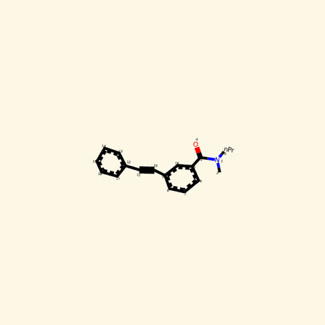 CCCN(C)C(=O)c1cccc(C#Cc2ccccc2)c1